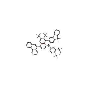 CC1(C)CCC(C)(C)c2cc(N(c3ccc(-c4cc5ccccc5c5ccccc45)cc3)c3cc4c(cc3-c3cccc5c3C(C)(C)CCC5(C)C)-c3ccccc3C4(C)C)ccc21